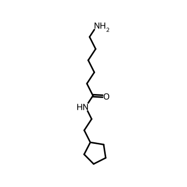 NCCCCCC(=O)NCCC1CCCC1